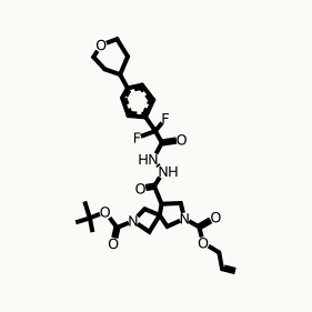 C=CCOC(=O)N1CC(C(=O)NNC(=O)C(F)(F)c2ccc(C3CCOCC3)cc2)C2(C1)CN(C(=O)OC(C)(C)C)C2